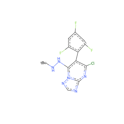 CC(C)(C)NNc1c(-c2c(F)cc(F)cc2F)c(Cl)nc2ncnn12